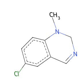 CN1CN=Cc2cc(Cl)ccc21